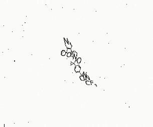 O=C1O[C@]2(CCN(C(=O)C3(c4ccc(-c5nnc(C(F)(F)F)o5)cc4)CC3)C2)c2ccncc21